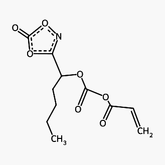 C=CC(=O)OC(=O)OC(CCCC)c1noc(=O)o1